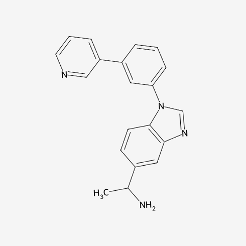 CC(N)c1ccc2c(c1)ncn2-c1cccc(-c2cccnc2)c1